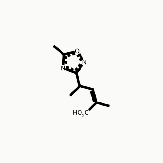 C/C(=C/C(C)c1noc(C)n1)C(=O)O